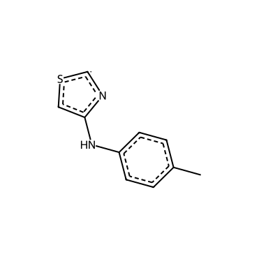 Cc1ccc(Nc2cs[c]n2)cc1